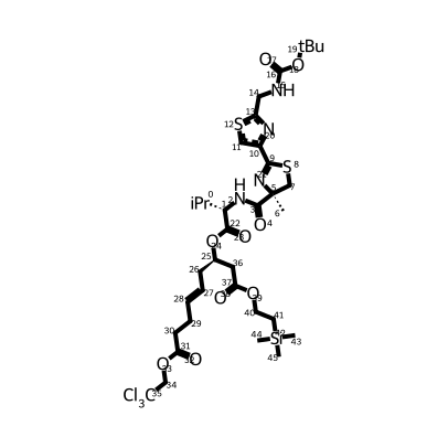 CC(C)[C@H](NC(=O)[C@]1(C)CSC(c2csc(CNC(=O)OC(C)(C)C)n2)=N1)C(=O)O[C@H](CC=CCCC(=O)OCC(Cl)(Cl)Cl)CC(=O)OCC[Si](C)(C)C